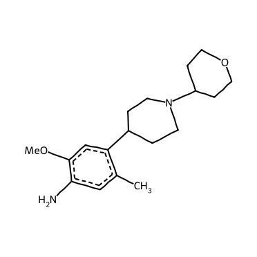 COc1cc(C2CCN(C3CCOCC3)CC2)c(C)cc1N